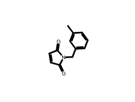 Cc1cccc(CN2C(=O)C=CC2=O)c1